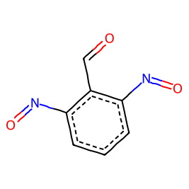 O=Cc1c(N=O)cccc1N=O